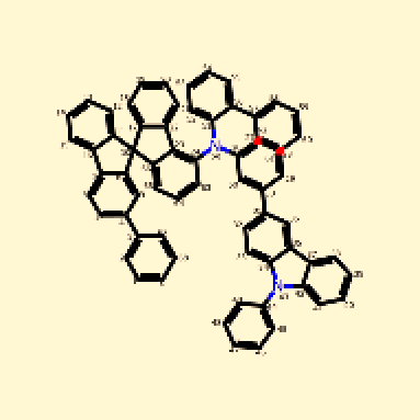 c1ccc(-c2ccc3c(c2)C2(c4ccccc4-3)c3ccccc3-c3c(N(c4cccc(-c5ccc6c(c5)c5ccccc5n6-c5ccccc5)c4)c4ccccc4-c4ccccc4)cccc32)cc1